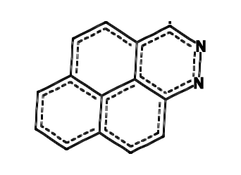 [c]1nnc2ccc3cccc4ccc1c2c43